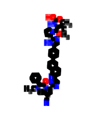 CC(C)[C@H](NC(=O)O)C(=O)N1CCC[C@H]1c1ncc(-c2ccc(-c3ccc4cc(-c5cnc([C@@H]6C[C@H](C#N)CN6C(=O)[C@@H](c6ccccc6)N(C)C)[nH]5)ccc4c3)cc2)[nH]1